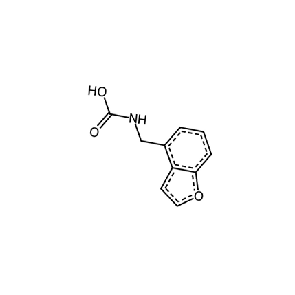 O=C(O)NCc1cccc2occc12